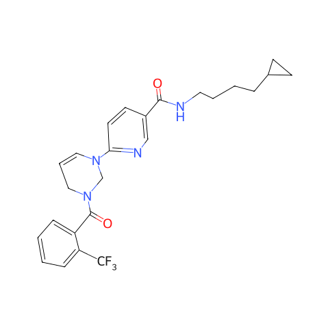 O=C(NCCCCC1CC1)c1ccc(N2C=CCN(C(=O)c3ccccc3C(F)(F)F)C2)nc1